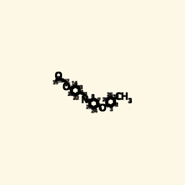 Cc1ccc(Oc2ccc(N=Cc3ccc(OCC4CO4)cc3)cc2)cc1